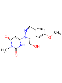 COc1ccc(/C=N\N(CCO)c2cc(=O)n(C)c(=O)[nH]2)cc1